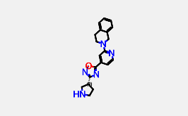 c1ccc2c(c1)CCN(c1cc(-c3nc([C@@H]4CCNC4)no3)ccn1)C2